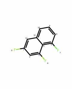 Fc1[c]c(F)c2c(F)c[c]cc2c1